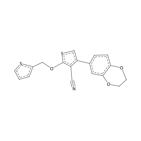 N#Cc1c(-c2ccc3c(c2)OCCO3)csc1OCc1cccs1